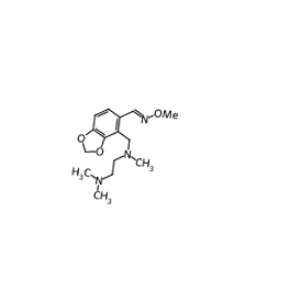 CON=Cc1ccc2c(c1CN(C)CCN(C)C)OCO2